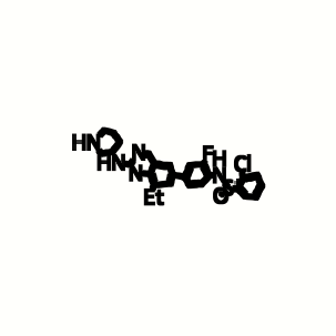 CCc1cc(-c2ccc(N[S+]([O-])c3ccccc3Cl)c(F)c2)cc2cnc(N[C@H]3CCCNC3)nc12